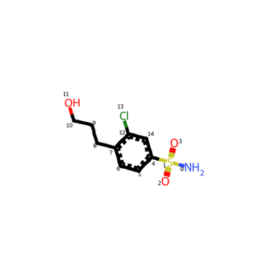 NS(=O)(=O)c1ccc(CCCO)c(Cl)c1